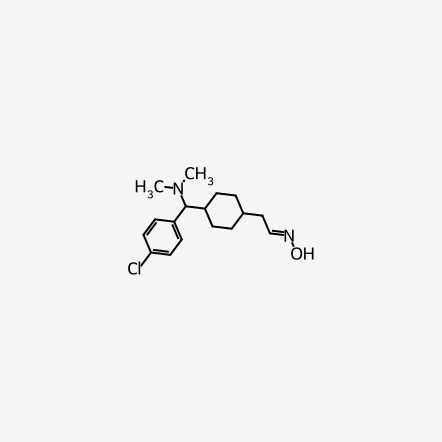 CN(C)C(c1ccc(Cl)cc1)C1CCC(CC=NO)CC1